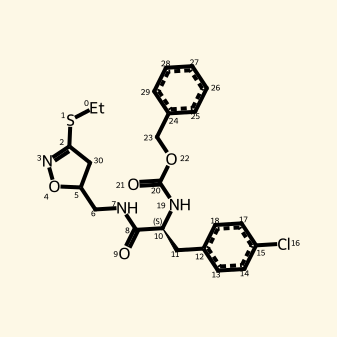 CCSC1=NOC(CNC(=O)[C@H](Cc2ccc(Cl)cc2)NC(=O)OCc2ccccc2)C1